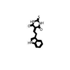 O=C1NC(=S)NC(=O)C1=CCc1c[nH]c2ccccc12